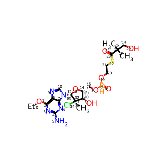 CCOc1nc(N)nc2c1ncn2[C@@H]1O[C@H](CO[PH](=O)OCCSC(=O)C(C)(C)CO)[C@@H](O)[C@@]1(C)Cl